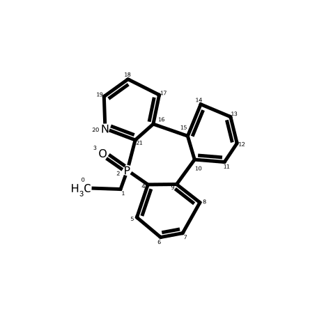 CCP1(=O)c2ccccc2-c2ccccc2-c2cccnc21